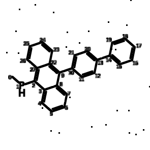 CPc1c2ccccc2c(-c2ccc(-c3ccccc3)cc2)c2ccccc12